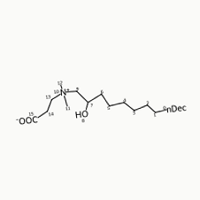 CCCCCCCCCCCCCCCCC(O)C[N+](C)(C)CCC(=O)[O-]